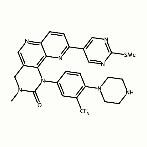 CSc1ncc(-c2ccc3ncc4c(c3n2)N(c2ccc(N3CCNCC3)c(C(F)(F)F)c2)C(=O)N(C)C4)cn1